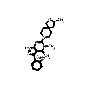 C=C1c2c(-c3ccccc3OC)n[nH]c2N=C(N2CCC3(CC2)CO[C@@H](C)C3)N1C